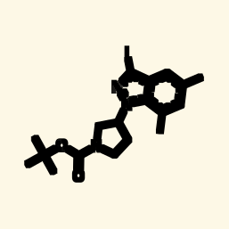 Cc1cc(C)c2c(c1)c(I)nn2C1CCN(C(=O)OC(C)(C)C)C1